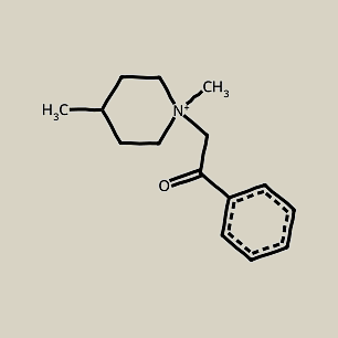 CC1CC[N+](C)(CC(=O)c2ccccc2)CC1